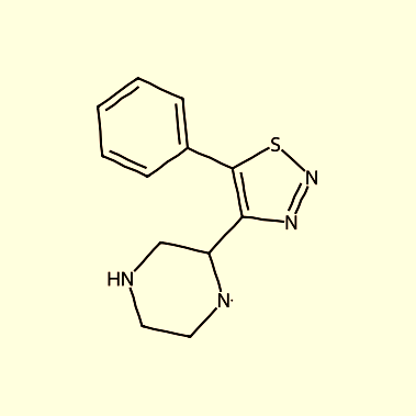 c1ccc(-c2snnc2C2CNCC[N]2)cc1